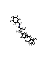 Cc1noc(C)c1Cn1ccc(NC(=O)/C=C/c2ccccc2)n1